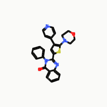 O=c1c2ccccc2nc(-c2cc(-c3ccncc3)c(N3CCOCC3)s2)n1-c1ccccc1